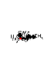 COc1cc(C)c(S(=O)(=O)N(C)CCOCC(=O)N2C[C@@H]3CCN(CC4CCN(C)CC4)[C@@H]3C2)c(C)c1